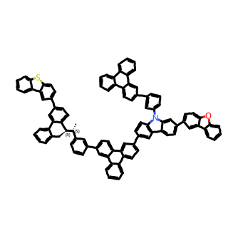 C[C@H](c1cccc(-c2ccc3c(c2)c2ccccc2c2ccc(-c4ccc5c(c4)c4ccc(-c6ccc7oc8ccccc8c7c6)cc4n5-c4cccc(-c5ccc6c7ccccc7c7ccccc7c6c5)c4)cc23)c1)[C@H]1Cc2ccccc2-c2cc(-c3ccc4sc5ccccc5c4c3)ccc21